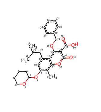 Cc1c(OC2CCCCO2)cc(CC(C)C)c2c(OCc3ccccc3)c(C(=O)O)c(=O)oc12